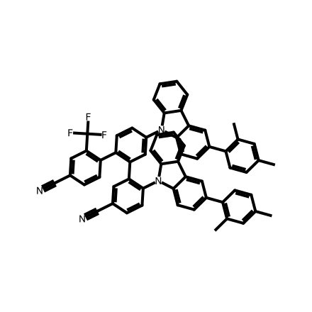 Cc1ccc(-c2ccc3c(c2)c2ccccc2n3-c2ccc(-c3ccc(C#N)cc3C(F)(F)F)c(-c3cc(C#N)ccc3-n3c4ccccc4c4cc(-c5ccc(C)cc5C)ccc43)c2)c(C)c1